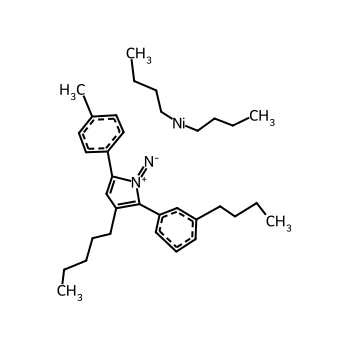 CCCCCC1=C(c2cccc(CCCC)c2)[N+](=[N-])C(c2ccc(C)cc2)=C1.CCC[CH2][Ni][CH2]CCC